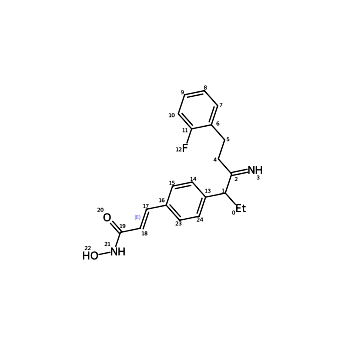 CCC(C(=N)CCc1ccccc1F)c1ccc(/C=C/C(=O)NO)cc1